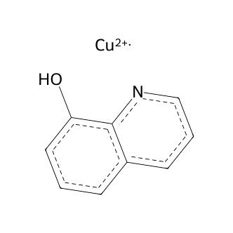 Oc1cccc2cccnc12.[Cu+2]